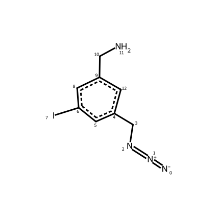 [N-]=[N+]=NCc1cc(I)cc(CN)c1